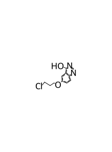 Oc1ncnc2ccc(OCCCCl)cc12